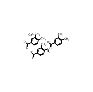 Cc1ccc(C(=O)[O-])cc1C.Cc1ccc(C(=O)[O-])cc1C.Cc1ccc(C(=O)[O-])cc1C.[Ga+3]